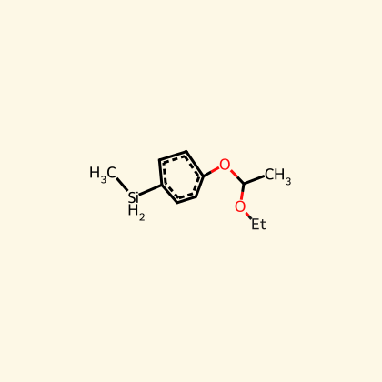 CCOC(C)Oc1ccc([SiH2]C)cc1